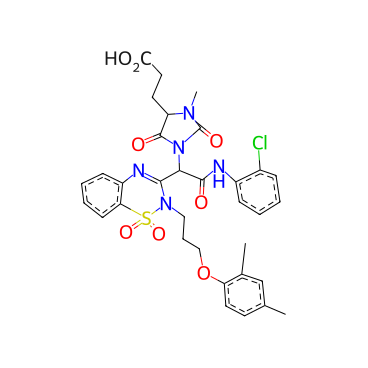 Cc1ccc(OCCCN2C(C(C(=O)Nc3ccccc3Cl)N3C(=O)C(CCC(=O)O)N(C)C3=O)=Nc3ccccc3S2(=O)=O)c(C)c1